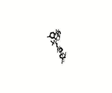 Cc1ccc(-n2nccn2)c(C(=O)N(CCn2ccc(-c3ccc(F)cn3)n2)C(C)C)c1